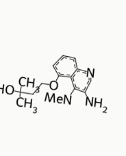 CNc1c(N)cnc2cccc(OCCC(C)(C)O)c12